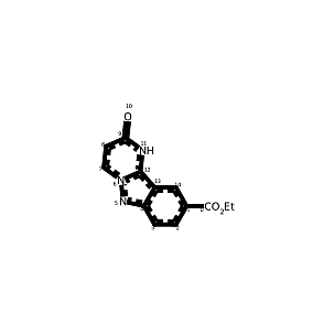 CCOC(=O)c1ccc2nn3ccc(=O)[nH]c3c2c1